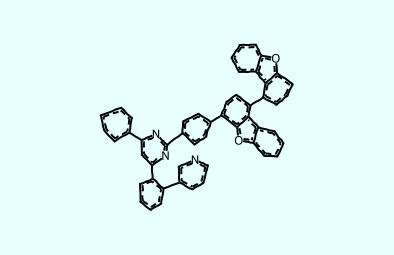 c1ccc(-c2cc(-c3ccccc3-c3cccnc3)nc(-c3ccc(-c4ccc(-c5cccc6oc7ccccc7c56)c5c4oc4ccccc45)cc3)n2)cc1